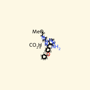 CC(=O)O.COCCN1CC(n2nc(-c3ccc(Oc4ccccc4)cc3)c3c(N)ncnc32)C1